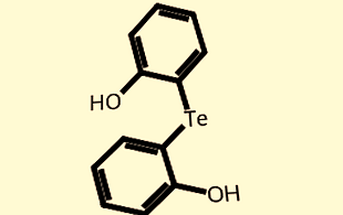 Oc1ccccc1[Te]c1ccccc1O